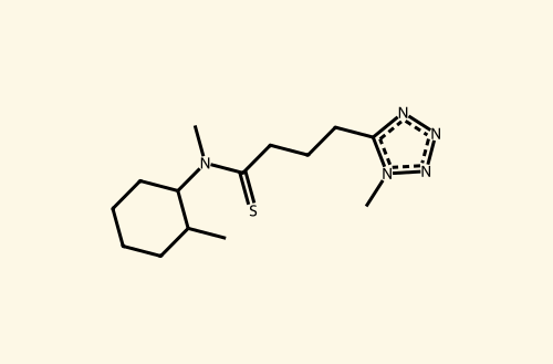 CC1CCCCC1N(C)C(=S)CCCc1nnnn1C